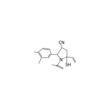 C=CC1(S)CC(C#N)C(c2ccc(C)c(C)c2)N1C(=C)C